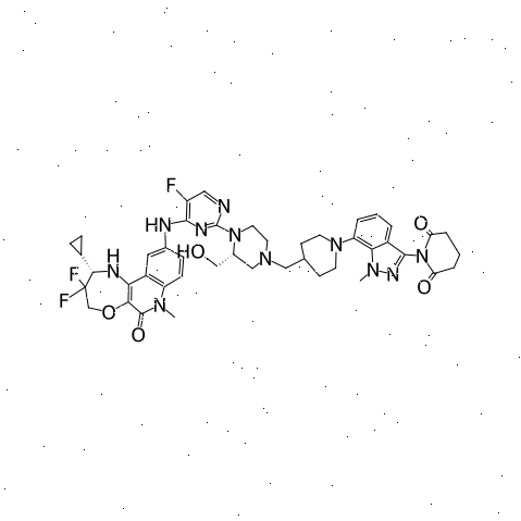 Cn1nc(N2C(=O)CCCC2=O)c2cccc(N3CCC(CN4CCN(c5ncc(F)c(Nc6ccc7c(c6)c6c(c(=O)n7C)OCC(F)(F)[C@H](C7CC7)N6)n5)[C@@H](CO)C4)CC3)c21